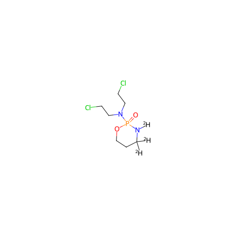 [2H]N1C([2H])([2H])CCOP1(=O)N(CCCl)CCCl